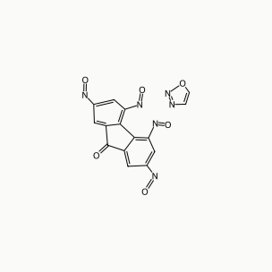 O=Nc1cc(N=O)c2c(c1)C(=O)c1cc(N=O)cc(N=O)c1-2.c1conn1